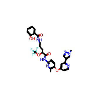 Cc1nc(NC(=O)C(CCCNC(=O)c2ccccc2O)OC(F)(F)F)ccc1Oc1ccnc(-c2cnn(C)c2)c1